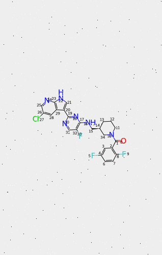 O=C(c1cc(F)ccc1F)N1CCC[C@H](CNc2nc(-c3c[nH]c4ncc(Cl)cc34)ncc2F)C1